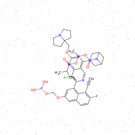 C#Cc1c(F)ccc2cc(OCOP(O)O)cc(-c3ncc4c(N5CC6CC(C5)N6C(=O)OC(C)OC(=O)C(C)C)nc(OCC56CCCN5CCC6)nc4c3F)c12